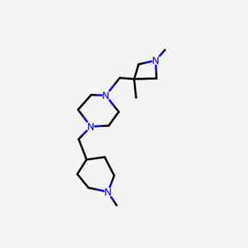 CN1CCC(CN2CCN(CC3(C)CN(C)C3)CC2)CC1